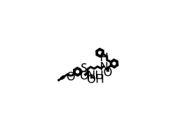 CC#CCOc1ccc(SC(CCCCNC(=O)c2ccccc2CCc2ccccc2)C(=O)NO)cc1